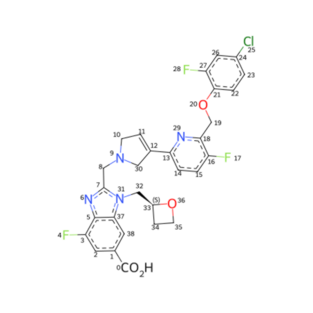 O=C(O)c1cc(F)c2nc(CN3CC=C(c4ccc(F)c(COc5ccc(Cl)cc5F)n4)C3)n(C[C@@H]3CCO3)c2c1